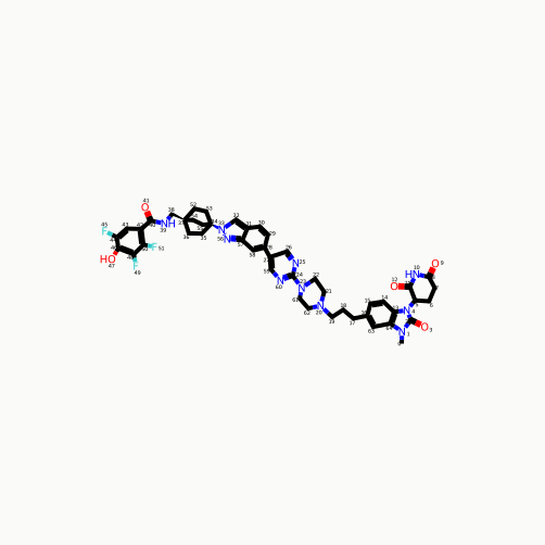 Cn1c(=O)n(C2CCC(=O)NC2=O)c2ccc(CCCN3CCN(c4ncc(-c5ccc6cn([C@]78CC[C@](CNC(=O)c9cc(F)c(O)c(F)c9F)(CC7)CC8)nc6c5)cn4)CC3)cc21